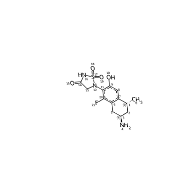 C[C@@H]1C[C@@H](N)Cc2c1cc(O)c(N1CC(=O)NS1(=O)=O)c2F